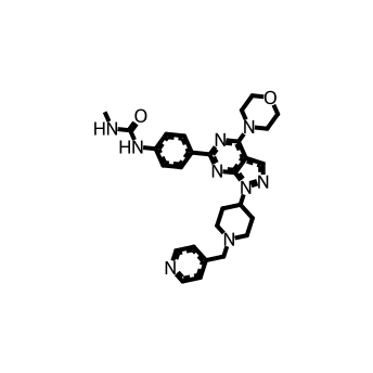 CNC(=O)Nc1ccc(-c2nc(N3CCOCC3)c3cnn(C4CCN(Cc5ccncc5)CC4)c3n2)cc1